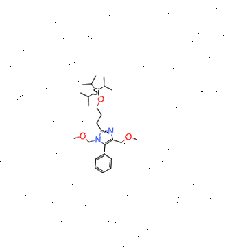 COCc1nc(CCCO[Si](C(C)C)(C(C)C)C(C)C)n(COC)c1-c1ccccc1